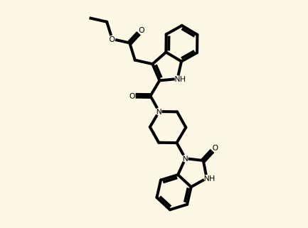 CCOC(=O)Cc1c(C(=O)N2CCC(n3c(=O)[nH]c4ccccc43)CC2)[nH]c2ccccc12